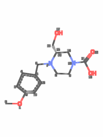 COc1ccc(CN2CCN(C(=O)O)C[C@H]2CO)cc1